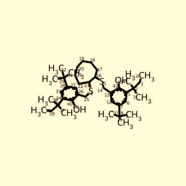 CCC(C)(C)c1cc(C(C)(C)C)cc(CSC2CCCCCCC2SCc2cc(C(C)(C)C)cc(C(C)(C)CC)c2O)c1O